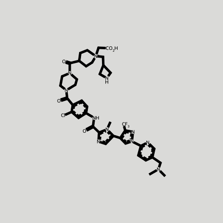 CN(C)Cc1ccc(-n2cc(-c3cnc(C(=O)Nc4ccc(C(=O)N5CCN(C(=O)C6CC[N+](CC(=O)O)(CC7CNC7)CC6)CC5)c(Cl)c4)n3C)c(C(F)(F)F)n2)nc1